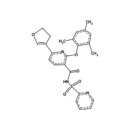 Cc1cc(C)c(Oc2nc(C3=COCC3)ccc2C(=O)NS(=O)(=O)c2ccccn2)c(C)c1